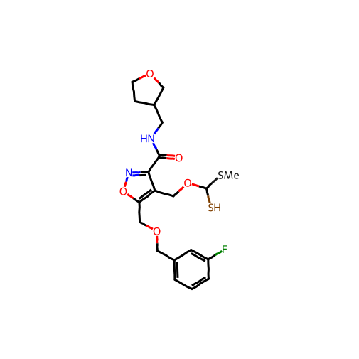 CSC(S)OCc1c(C(=O)NCC2CCOC2)noc1COCc1cccc(F)c1